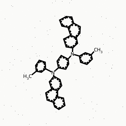 Cc1cccc(N(c2ccc(N(c3cccc(C)c3)c3ccc4c(ccc5ccccc54)c3)cc2)c2ccc3c(ccc4ccccc43)c2)c1